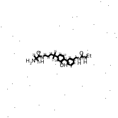 CCNC(=O)NCc1cccc(-c2ccc(C(C)(C)CCCNC(=O)C(C)(C)N)cc2O)c1